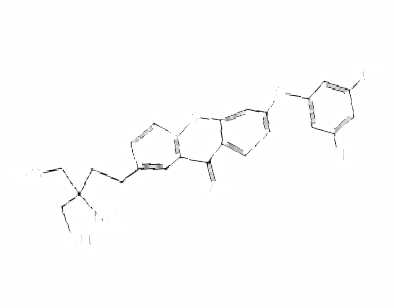 NC(CO)(CO)CCc1ccc2sc3cc(Oc4cc(Cl)cc(Cl)c4)ccc3c(=O)c2c1